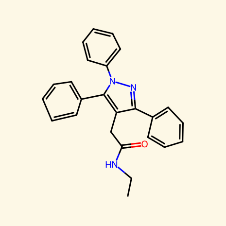 CCNC(=O)Cc1c(-c2ccccc2)nn(-c2ccccc2)c1-c1ccccc1